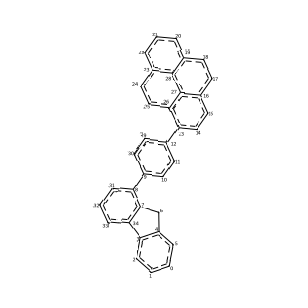 c1ccc2c(c1)Cc1c(-c3ccc(-c4ccc5ccc6cccc7ccc4c5c67)cc3)cccc1-2